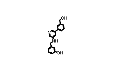 OCc1cccc(-c2cncc(NCc3cccc(O)c3)c2)c1